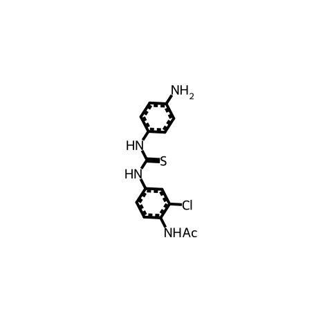 CC(=O)Nc1ccc(NC(=S)Nc2ccc(N)cc2)cc1Cl